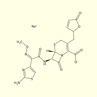 CO/N=C(\C(=O)N[C@@H]1C(=O)N2C(C(=O)[O-])=C(CC3C=CC(=O)O3)CS[C@@H]12)c1csc(N)n1.[Na+]